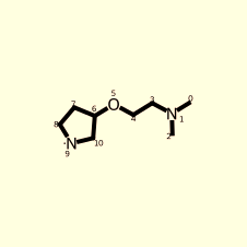 CN(C)CCOC1CC[N]C1